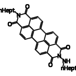 CCCCCCCNN1C(=O)c2ccc3c4ccc5c6c(ccc(c7ccc(c2c37)C1=O)c64)C(=O)N(CCCCCCC)C5=O